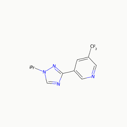 CC(C)n1cnc(-c2cncc(C(F)(F)F)c2)n1